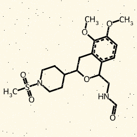 COc1ccc2c(c1OC)CC(C1CCN(S(C)(=O)=O)CC1)OC2CNC=O